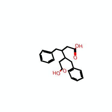 O=C(O)CC(Cc1ccccc1)C(CC(=O)O)Cc1ccccc1